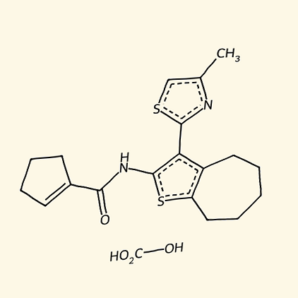 Cc1csc(-c2c(NC(=O)C3=CCCC3)sc3c2CCCCC3)n1.O=C(O)O